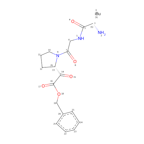 CC[C@H](C)[C@H](N)C(=O)NCC(=O)N1CCC[C@H]1C(=O)C(=O)OCc1ccccc1